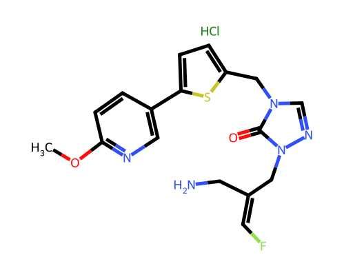 COc1ccc(-c2ccc(Cn3cnn(C/C(=C\F)CN)c3=O)s2)cn1.Cl